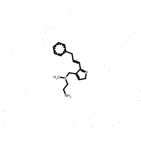 CN(CCN)CC1=CCN=C1/C=C/Cc1ccccc1